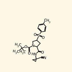 Cc1ccc(S(=O)(=O)C2CC(C(=O)NC3(C#N)CC3)N(C(=O)OC(C)(C)C)C2)cc1